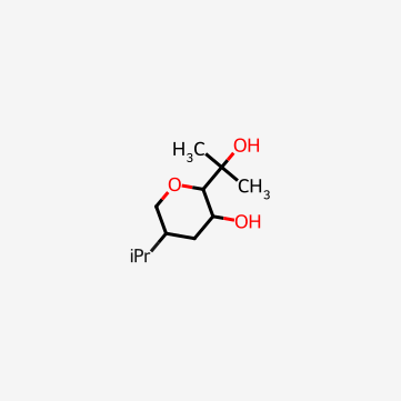 CC(C)C1COC(C(C)(C)O)C(O)C1